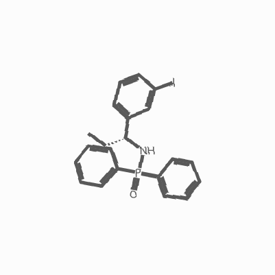 CC[C@@H](NP(=O)(c1ccccc1)c1ccccc1)c1cccc(I)c1